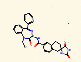 O=C1NC(=O)C2(CCc3cc(C(=O)N[C@@H]4N=C(c5ccccc5)c5ccccc5N(CC(F)(F)F)C4=O)ccc3C2)N1